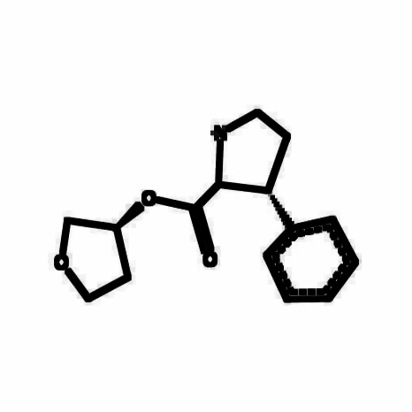 O=C(O[C@H]1CCOC1)C1[N]CC[C@@H]1c1ccccc1